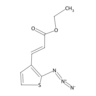 CCOC(=O)C=Cc1ccsc1N=[N+]=[N-]